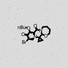 CCCCOc1c2n(cc(Br)c1=O)C1(CC1)C1OCCCCN1C2=O